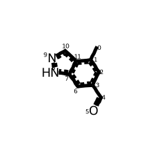 Cc1cc(C=O)cc2[nH]ncc12